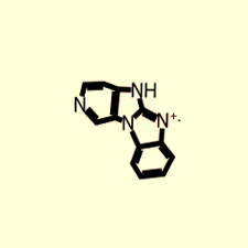 c1ccc2c(c1)[N+]=C1Nc3ccncc3N12